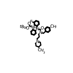 [CH]c1ccc(CN(CCCN2CCC(C)CC2)C(=O)N(c2cccc(F)c2)c2ccccc2NC(=O)OC(C)(C)C)cc1